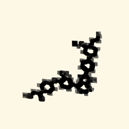 Cc1cc(-c2ncnc3[nH]c(-c4ccc(N5CCN(CCF)C(C)C5)cc4)nc23)ccc1OC1CCN(C(=O)CO)CC1